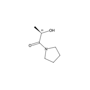 C[C@@H](O)C(=O)N1CCCC1